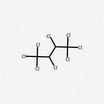 ClC(C(Cl)C(Cl)(Cl)Cl)C(Cl)(Cl)Cl